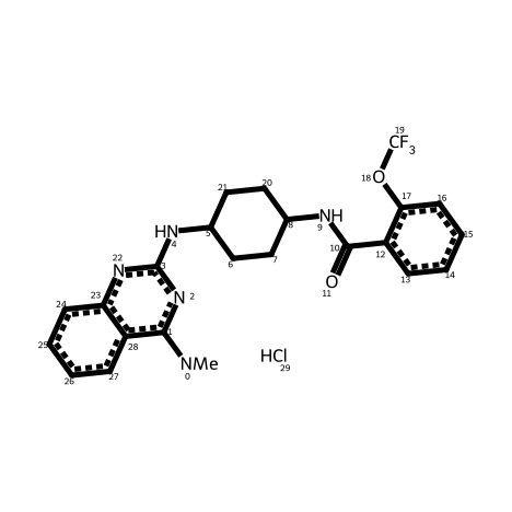 CNc1nc(NC2CCC(NC(=O)c3ccccc3OC(F)(F)F)CC2)nc2ccccc12.Cl